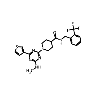 CNc1nc(-c2ccsc2)nc(N2CCC(C(=O)NCc3ccccc3C(F)(F)F)CC2)n1